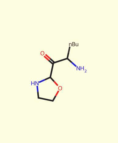 CCCCC(N)C(=O)C1NCCO1